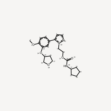 COc1ccc(-c2ccnn2CCOC(=O)NC2CCCC2)cc1OC1CCOC1